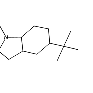 CN1CCC2CC(C(C)(C)C)CCC21